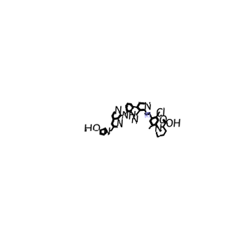 Cc1cc(/C=C/c2nccc(-c3cccc(Nc4nccc5cc(Cn6ccc(O)c6)cnc45)c3C)c2C#N)c(Cl)cc1N1CCCCC1C(=O)O